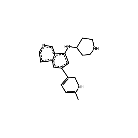 CC1=CC=C(c2cc(NC3CCNCC3)c3cnccc3c2)CN1